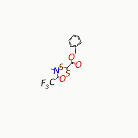 CN(SC(=S)C(=O)OCc1ccccc1)C(=O)C(F)(F)F